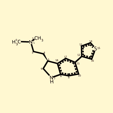 CN(C)CC[C@@H]1CNc2ccc(-c3ccsc3)cc21